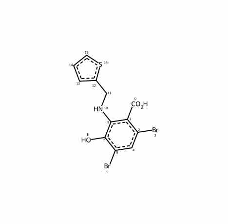 O=C(O)c1c(Br)cc(Br)c(O)c1NCc1cccs1